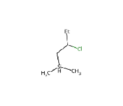 CCC(Cl)C[SiH](C)C